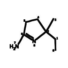 CCC1(C)CCC(N)=N1